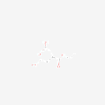 CCOC(=O)C(CCO)CC(=O)O